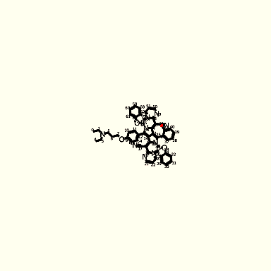 CCN(CC)CCCOc1ccc(-c2c3/c(=C(\C#N)c4ncccn4)n(B4Oc5ccccc5O4)c(-c4ccccc4C)c3/c(=C(\C#N)c3ncccn3)n2B2Oc3ccccc3O2)cc1